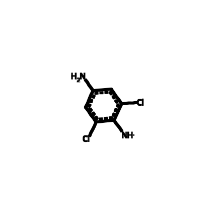 [NH]c1c(Cl)cc(N)cc1Cl